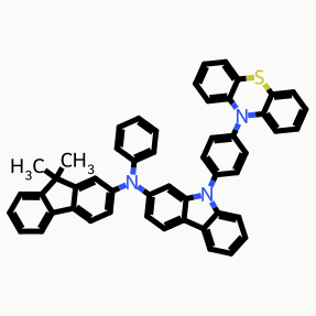 CC1(C)c2ccccc2-c2ccc(N(c3ccccc3)c3ccc4c5ccccc5n(-c5ccc(N6c7ccccc7Sc7ccccc76)cc5)c4c3)cc21